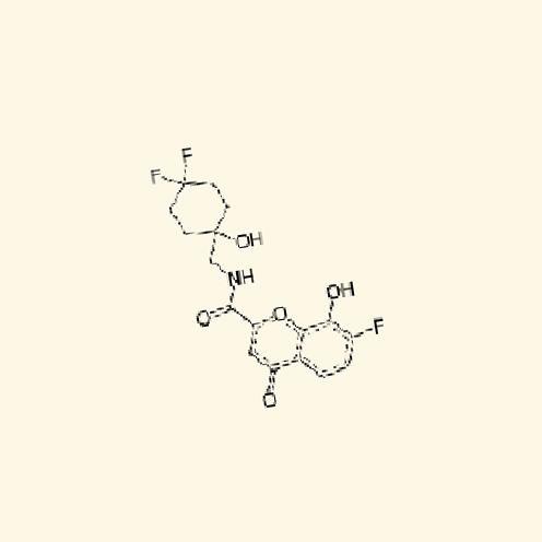 O=C(NCC1(O)CCC(F)(F)CC1)c1cc(=O)c2ccc(F)c(O)c2o1